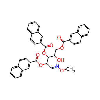 CON=CC(OC(=O)c1ccc2ccccc2c1)C(OC(=O)c1ccc2ccccc2c1)C(O)COC(=O)c1ccc2ccccc2c1